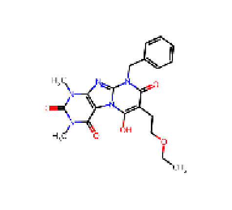 CCOCCc1c(O)n2c3c(=O)n(C)c(=O)n(C)c3nc2n(Cc2ccccc2)c1=O